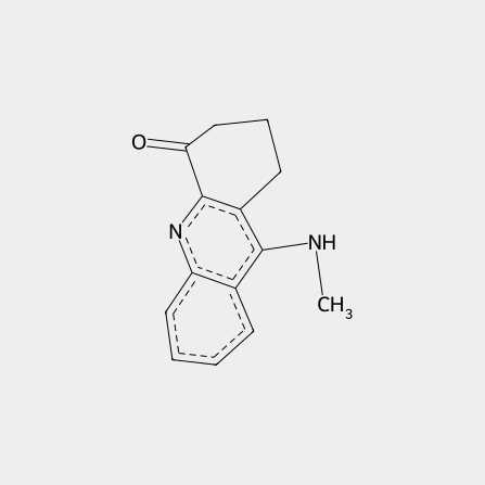 CNc1c2c(nc3ccccc13)C(=O)CCC2